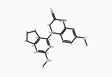 COc1ccc2c(c1)NC(=O)CN2c1nc(OC)nc2c1CCC2